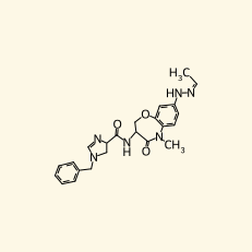 C/C=N\Nc1ccc2c(c1)OCC(NC(=O)C1CN(Cc3ccccc3)C=N1)C(=O)N2C